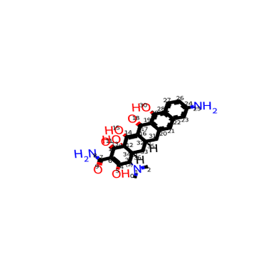 CN(C)[C@@H]1C(O)=C(C(N)=O)C(=O)[C@@]2(O)C(O)=C3C(=O)c4c(cc5cc(N)ccc5c4O)C[C@H]3C[C@@H]12